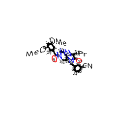 COc1cc(OC)cc(C(=O)N2CCC3(CC2)NC(C(C)C)C(=O)N3Cc2cccc(C#N)c2)c1